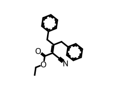 CCOC(=O)C(C#N)=C(Cc1ccccc1)Cc1ccccc1